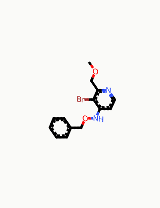 COCc1nccc(NOCc2ccccc2)c1Br